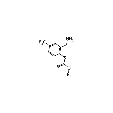 CCOC(=S)Sc1ccc(C(F)(F)F)cc1CN